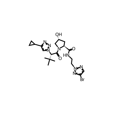 CC(C)(C)[C@@H](C(=O)N1C[C@H](O)C[C@H]1C(=O)NCCn1ncc(Br)n1)n1cc(C2CC2)nn1